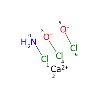 NCl.[Ca+2].[O-]Cl.[O-]Cl